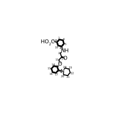 O=C(CNc1cccc(C(=O)O)c1)COc1ccccc1N1CCCCC1